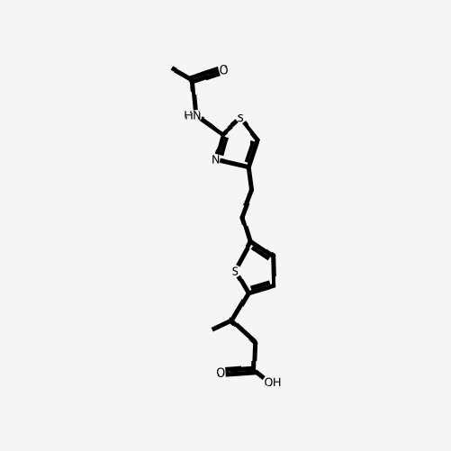 CC(=O)Nc1nc(CCc2ccc(C(C)CC(=O)O)s2)cs1